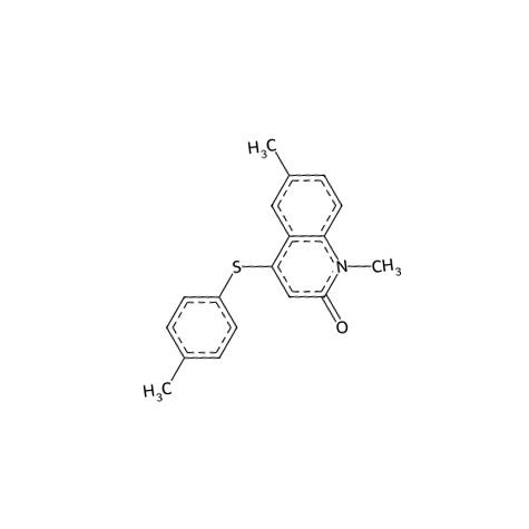 Cc1ccc(Sc2cc(=O)n(C)c3ccc(C)cc23)cc1